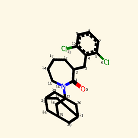 O=C1C(Cc2c(Cl)cccc2Cl)CCCCN1C12CC3CC(CC(C3)C1)C2